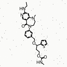 CCNc1cc2c(cn1)C(=O)N(c1cccc(COC(CCOC(=O)NC)c3cccs3)c1)CCN2C